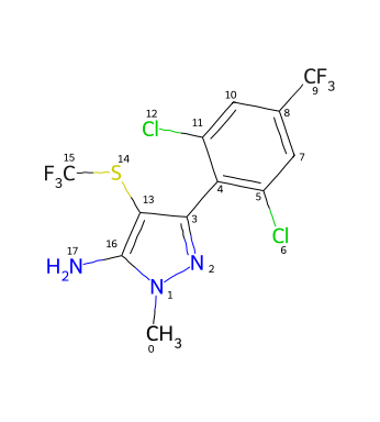 Cn1nc(-c2c(Cl)cc(C(F)(F)F)cc2Cl)c(SC(F)(F)F)c1N